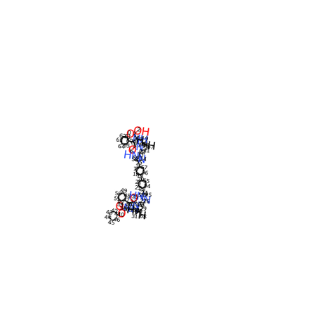 O=C(O)N[C@@H](C(=O)N1[C@@H]2C[C@@H]2C[C@H]1c1nc(-c2ccc(-c3ccc(-c4cnc([C@@H]5C[C@H]6C[C@H]6N5C(=O)[C@H](NC(=O)OC5CCCCC5)c5ccccc5)[nH]4)cc3)cc2)c[nH]1)c1ccccc1